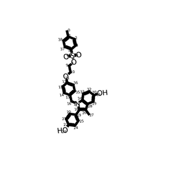 Cc1ccc(S(=O)(=O)OCCOc2ccc(Cn3c(-c4ccc(O)cc4)c(C)c4cc(O)ccc43)cc2)cc1